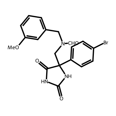 COc1cccc(CN(C=O)CC2(c3ccc(Br)cc3)NC(=O)NC2=O)c1